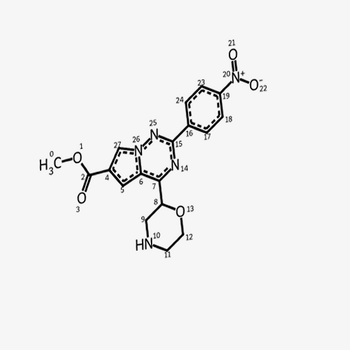 COC(=O)c1cc2c(C3CNCCO3)nc(-c3ccc([N+](=O)[O-])cc3)nn2c1